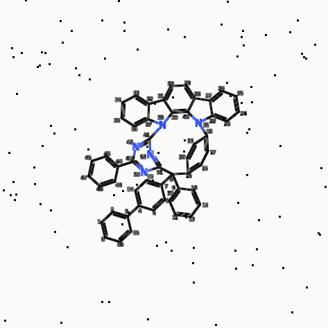 c1ccc(-c2ccc(C3(c4ccccc4)c4ccc(cc4)-n4c5ccccc5c5ccc6c7ccccc7n(c6c54)-c4nc(-c5ccccc5)nc3n4)cc2)cc1